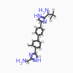 Cc1cc(-c2ccc(-c3c[nH]c(C(N)C(C)(C)C)n3)cc2)ccc1-c1c[nH]c(CN)n1